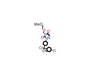 COCCOCn1c(=O)cnn(-c2ccc(C(Cl)(C#N)c3ccc(Cl)cc3)cc2)c1=O